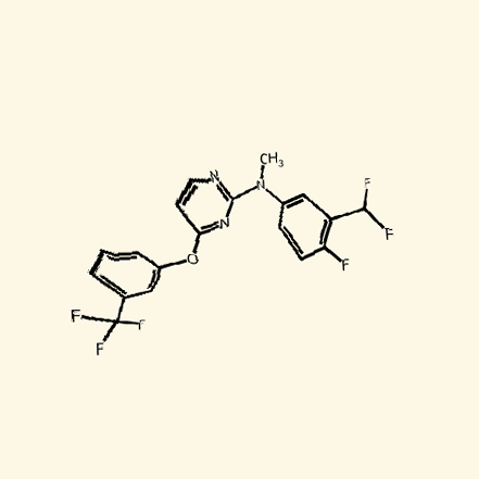 CN(c1ccc(F)c(C(F)F)c1)c1nccc(Oc2cccc(C(F)(F)F)c2)n1